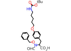 CC(C)(C)OC(=O)NCCCCCOc1ccc(CC(C(=O)O)N(C=O)OCc2ccccc2)cc1